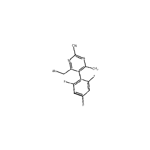 CCC(C)Cc1nc(C#N)nc(C)c1-c1c(F)cc(F)cc1F